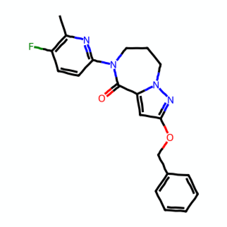 Cc1nc(N2CCCn3nc(OCc4ccccc4)cc3C2=O)ccc1F